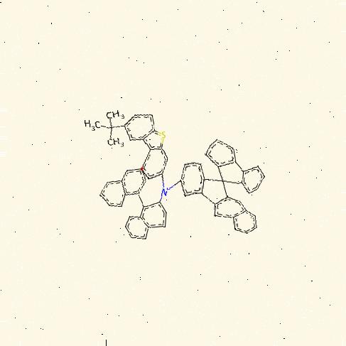 CC(C)(C)c1ccc2sc3cc(N(c4ccc5c(c4)-c4cc6ccccc6cc4C54c5ccccc5-c5ccccc54)c4ccc5ccccc5c4-c4cccc5ccccc45)ccc3c2c1